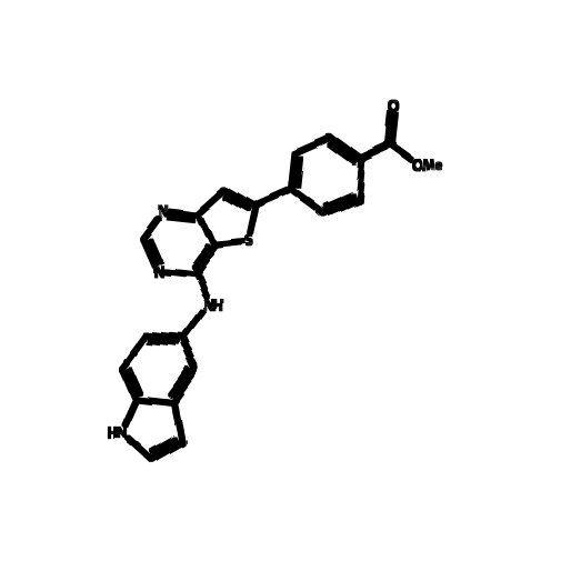 COC(=O)c1ccc(-c2cc3ncnc(Nc4ccc5[nH]ccc5c4)c3s2)cc1